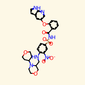 O=C(NS(=O)(=O)c1ccc(NCC2COCCN2C2CCOCC2)c([N+](=O)[O-])c1)c1ccccc1Oc1cnc2[nH]ccc2c1